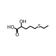 CCSCCCC(O)C(=O)O